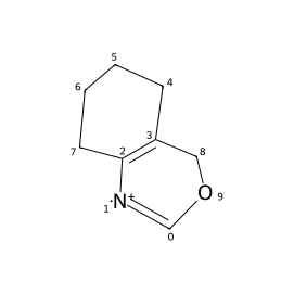 C1=[N+]C2=C(CCCC2)CO1